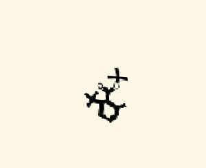 Cc1cccc(C(C)(C)C)c1C(=O)OC(C)(C)C